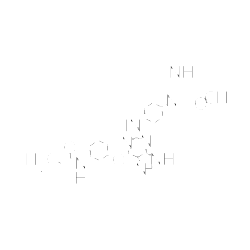 C=CC(=O)Nc1cccc(Oc2nc(Nc3ccc(N(CCOC)C4CCNC4)cc3)nc3[nH]cnc23)c1